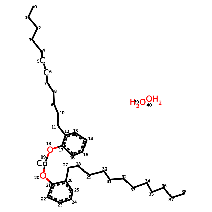 CCCCCCCCCCCCc1ccccc1[O][Co][O]c1ccccc1CCCCCCCCCCCC.O.O